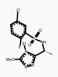 CCn1c(OC)nnc1[C@@H](C)NS(=O)(=O)c1cc(Cl)ccc1F